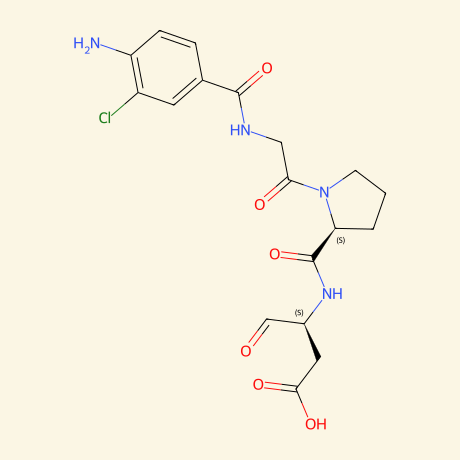 Nc1ccc(C(=O)NCC(=O)N2CCC[C@H]2C(=O)N[C@H](C=O)CC(=O)O)cc1Cl